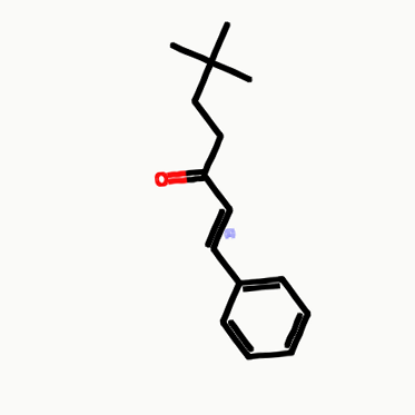 CC(C)(C)CCC(=O)/C=C/c1ccccc1